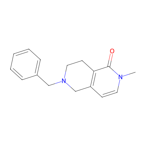 Cn1ccc2c(c1=O)CCN(Cc1ccccc1)C2